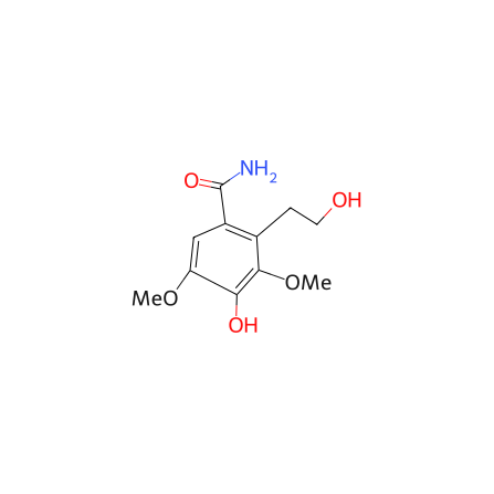 COc1cc(C(N)=O)c(CCO)c(OC)c1O